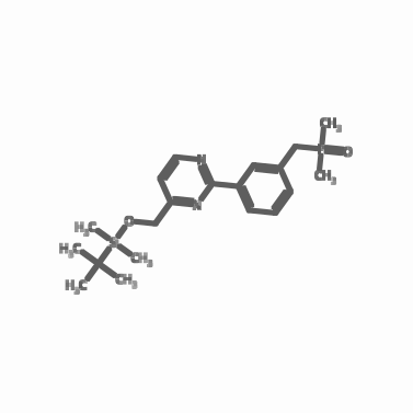 CC(C)(C)[Si](C)(C)OCc1ccnc(-c2cccc(CP(C)(C)=O)c2)n1